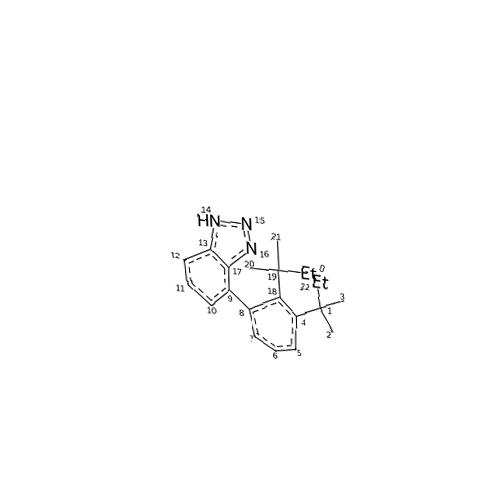 CCC(C)(C)c1cccc(-c2cccc3[nH]nnc23)c1C(C)(C)CC